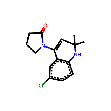 CC1(C)C=C(N2CCCC2=O)c2cc(Cl)ccc2N1